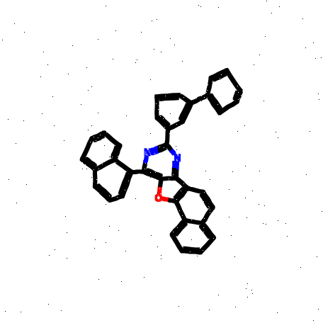 c1ccc(-c2cccc(-c3nc(-c4cccc5ccccc45)c4oc5c6ccccc6ccc5c4n3)c2)cc1